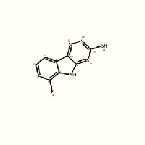 Fc1cccc2c1[nH]c1nc(S)nnc12